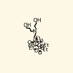 CCOP(=O)(OCC)C(NC(=O)OCCN(CCCO)CCCO)P(=O)(OCC)OCC